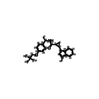 C[C@@H](NC(=O)C1CC1c1cn(C)c2ccccc12)c1ccc(OCC(F)(F)F)cn1